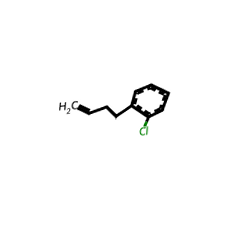 C=CC[CH]c1ccccc1Cl